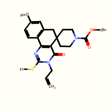 C=CCn1c(SCC)nc2c(c1=O)C1(CCN(C(=O)OC(C)(C)C)CC1)Cc1cc(OC)ccc1-2